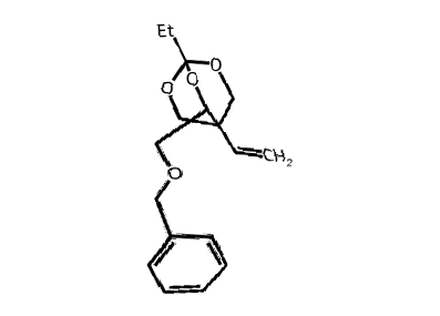 C=CC12COC(CC)(OC1)OC2COCc1ccccc1